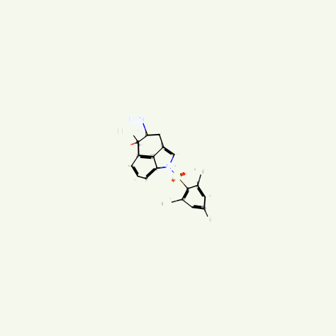 CC(C)c1cc(C(C)C)c(S(=O)(=O)n2cc3c4c(cccc42)C(C)(O)C(N)C3)c(C(C)C)c1